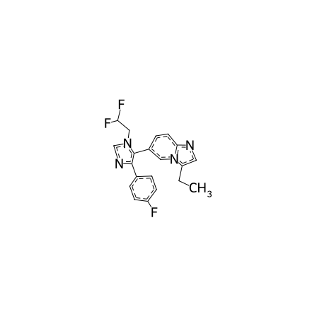 CCc1cnc2ccc(-c3c(-c4ccc(F)cc4)ncn3CC(F)F)cn12